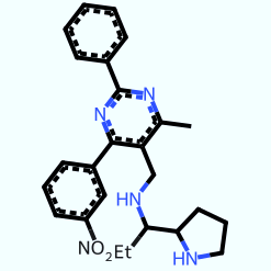 CCC(NCc1c(C)nc(-c2ccccc2)nc1-c1cccc([N+](=O)[O-])c1)C1CCCN1